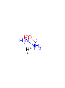 CO.NN.[H+]